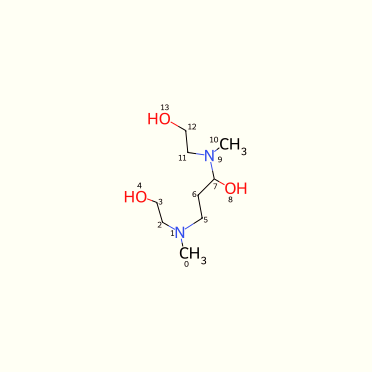 CN(CCO)CCC(O)N(C)CCO